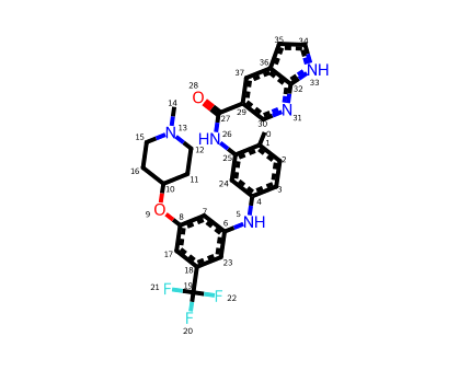 Cc1ccc(Nc2cc(OC3CCN(C)CC3)cc(C(F)(F)F)c2)cc1NC(=O)c1cnc2[nH]ccc2c1